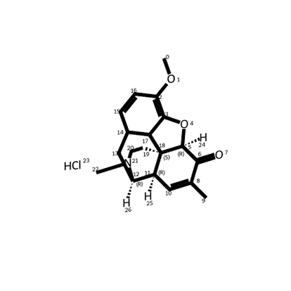 COC1=C2O[C@H]3C(=O)C(C)=C[C@H]4[C@H]5CC(C=C1)C2[C@@]34CCN5C.Cl